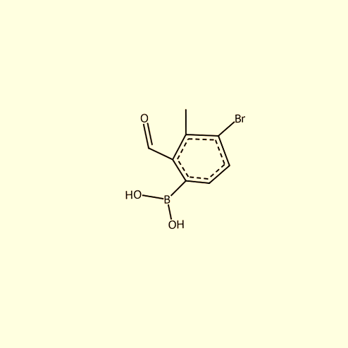 Cc1c(Br)ccc(B(O)O)c1C=O